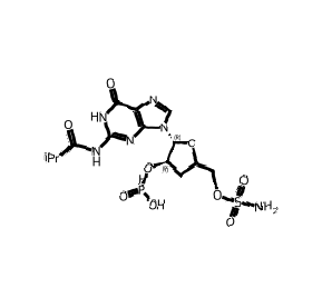 CC(C)C(=O)Nc1nc2c(ncn2[C@@H]2OC(COS(N)(=O)=O)C[C@H]2O[PH](=O)O)c(=O)[nH]1